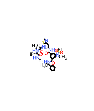 CCNC(=O)[C@@H](NC(=O)[C@H](C)NC[C@H](Cc1cscn1)NC(=O)c1cc(C(=O)N[C@H](C)c2ccccc2)cc(N(C)S(=O)(=O)CC)c1)C(C)C